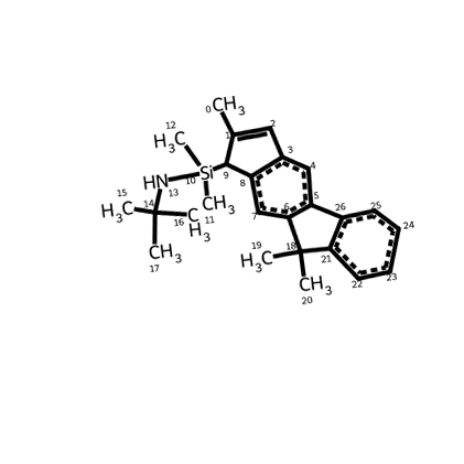 CC1=Cc2cc3c(cc2C1[Si](C)(C)NC(C)(C)C)C(C)(C)c1ccccc1-3